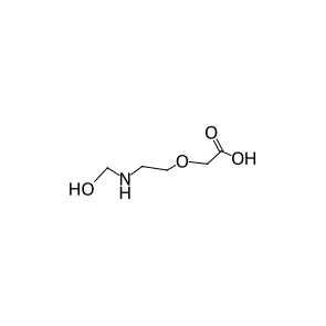 O=C(O)COCCNCO